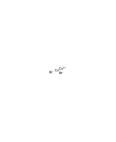 [Br-].[Br-].[Cu+2].[Cu]